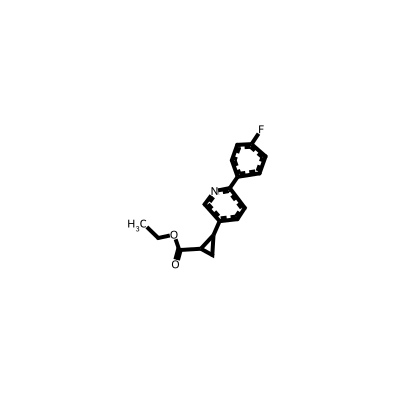 CCOC(=O)C1CC1c1ccc(-c2ccc(F)cc2)nc1